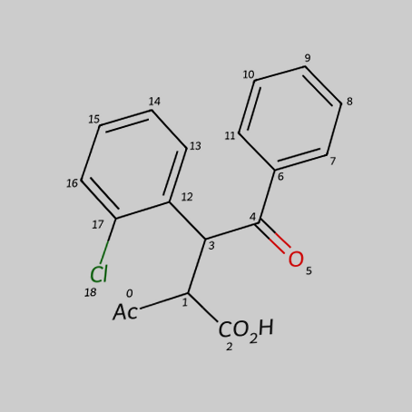 CC(=O)C(C(=O)O)C(C(=O)c1ccccc1)c1ccccc1Cl